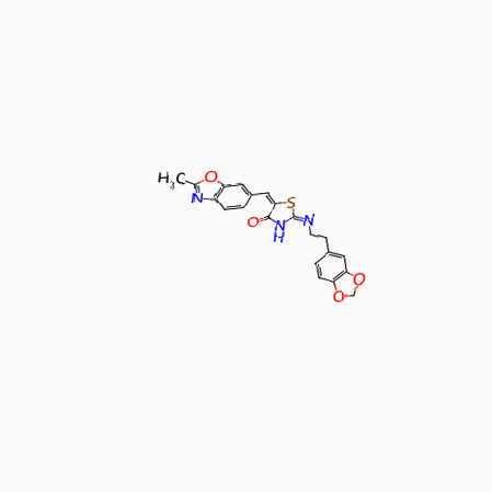 Cc1nc2ccc(C=C3SC(=NCCc4ccc5c(c4)OCO5)NC3=O)cc2o1